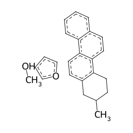 CC1CCc2c(ccc3c2ccc2ccccc23)C1.CO.c1ccoc1